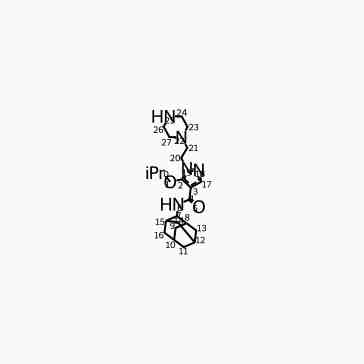 CC(C)Oc1c(C(=O)NC2C3CC4CC(C3)CC2C4)cnn1CCN1CCNCC1